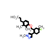 Cc1c(CCC(=O)O)ccc(OCC2=C(c3cnn(C)c3)CCC(C)(F)C2)c1C